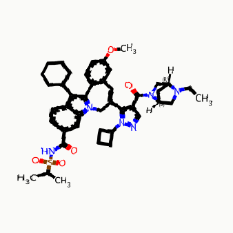 CCN1C[C@H]2C[C@@H]1CN2C(=O)c1cnn(C2CCC2)c1C1=Cc2cc(OC)ccc2-c2c(C3CCCCC3)c3ccc(C(=O)NS(=O)(=O)C(C)C)cc3n2C1